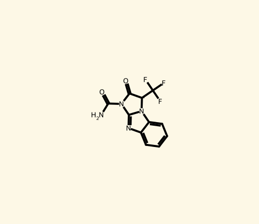 NC(=O)N1C(=O)[C](C(F)(F)F)n2c1nc1ccccc12